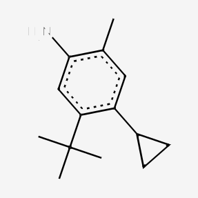 Cc1cc(C2CC2)c(C(C)(C)C)cc1N